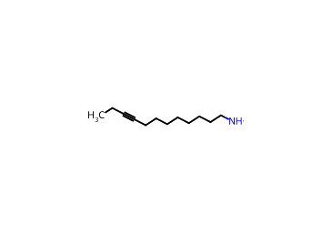 CCC#CCCCCCCCC[NH]